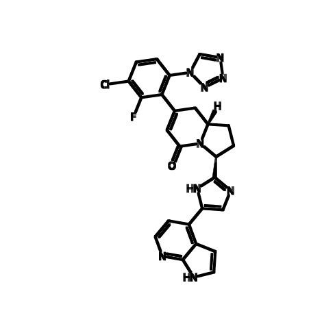 O=C1C=C(c2c(-n3cnnn3)ccc(Cl)c2F)C[C@@H]2CC[C@@H](c3ncc(-c4ccnc5[nH]ccc45)[nH]3)N12